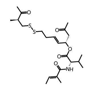 C/C=C(\C)C(=O)N[C@H](C(=O)O[C@H](/C=C/CCSSC[C@@H](C)C(C)=O)CC(C)=O)C(C)C